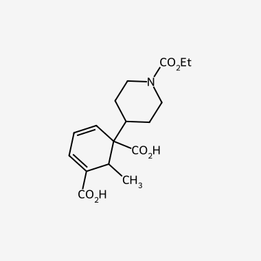 CCOC(=O)N1CCC(C2(C(=O)O)C=CC=C(C(=O)O)C2C)CC1